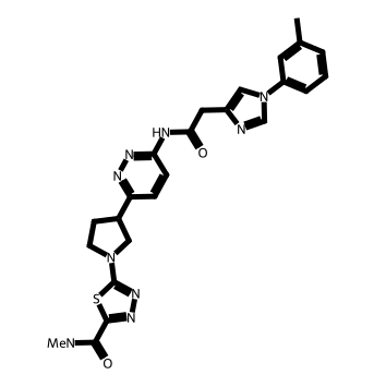 CNC(=O)c1nnc(N2CCC(c3ccc(NC(=O)Cc4cn(-c5cccc(C)c5)cn4)nn3)C2)s1